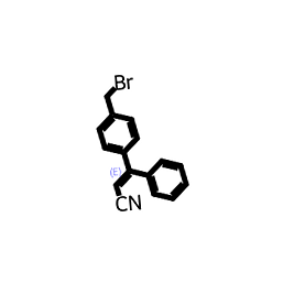 N#C/C=C(\c1ccccc1)c1ccc(CBr)cc1